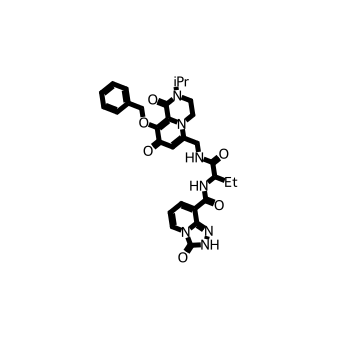 CCC(NC(=O)c1cccn2c(=O)[nH]nc12)C(=O)NCc1cc(=O)c(OCc2ccccc2)c2n1CCN(C(C)C)C2=O